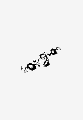 Cc1ccc(S(=O)(=O)OC[C@@H]2CO[C@](CCc3ccc(Cl)cc3)(Cn3ccnc3)O2)cc1